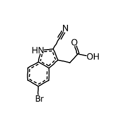 N#Cc1[nH]c2ccc(Br)cc2c1CC(=O)O